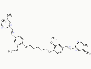 C=C/C=C(\C=C/C)/C=C/c1ccc(OCCCCCOc2ccc(/C=C/C(/C=C\C)=C/C=C)cc2OC)c(OC)c1